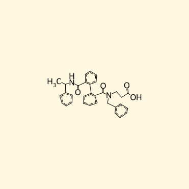 CC(NC(=O)c1ccccc1-c1ccccc1C(=O)N(CCC(=O)O)Cc1ccccc1)c1ccccc1